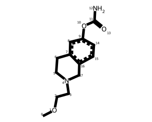 COCCN1CCc2cc(OC(N)=O)ccc2C1